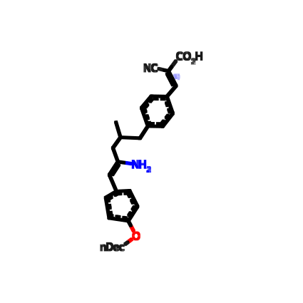 CCCCCCCCCCOc1ccc(C=C(N)CC(C)Cc2ccc(/C=C(\C#N)C(=O)O)cc2)cc1